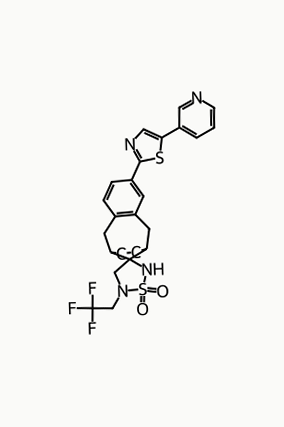 O=S1(=O)NC2(CN1CC(F)(F)F)C1CCC2Cc2cc(-c3ncc(-c4cccnc4)s3)ccc2C1